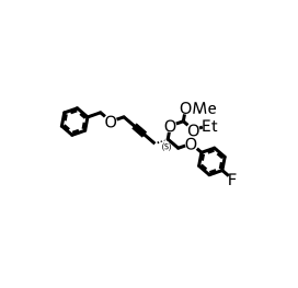 CCOC(OC)O[C@@H](CC#CCOCc1ccccc1)COc1ccc(F)cc1